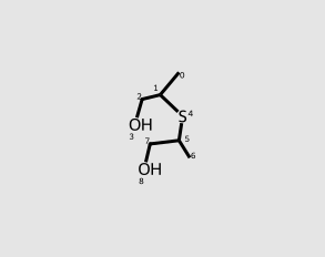 CC(CO)SC(C)CO